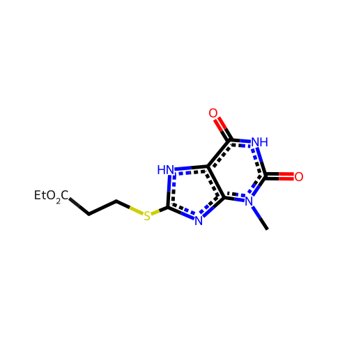 CCOC(=O)CCSc1nc2c([nH]1)c(=O)[nH]c(=O)n2C